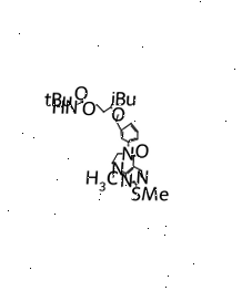 CCC(C)C(CCOC(=O)NC(C)(C)C)OCc1cccc(N2CCN(C)c3nc(SC)ncc3C2=O)c1